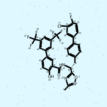 Cc1noc([C@@H](Cc2ccc(-c3ccc(F)c(Cl)c3)cc2)NC(=O)c2cc(-c3cc(C(F)(F)F)cc(C(F)(F)F)c3)ccc2O)n1